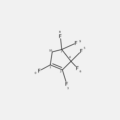 FC1=C(F)C(F)(F)C(F)(F)C1